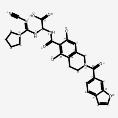 N#C/N=C(/N[C@H](NC(=O)c1c(Cl)cc2c(c1Cl)CCN(C(=O)c1ccc3ccoc3c1)C2)C(=O)O)N1CCCC1